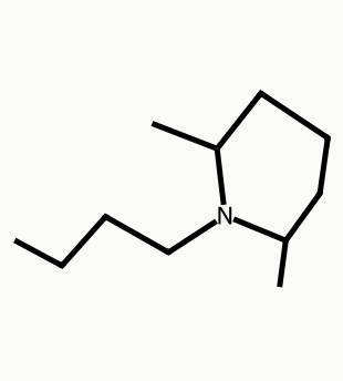 CCCCN1C(C)CCCC1C